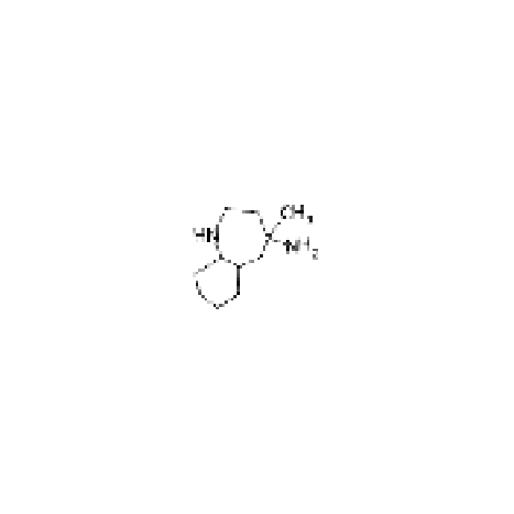 CC1(N)CCNC2CCCCC2C1